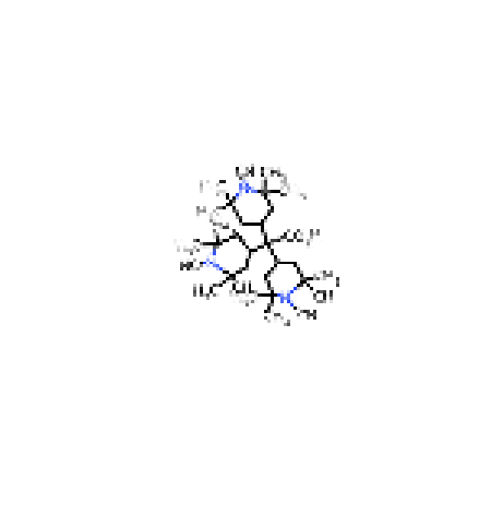 CC1(C)CC(C(C(=O)O)(C2CC(C)(C)N(C#N)C(C)(C)C2)C2CC(C)(C)N(C#N)C(C)(C)C2)CC(C)(C)N1C#N